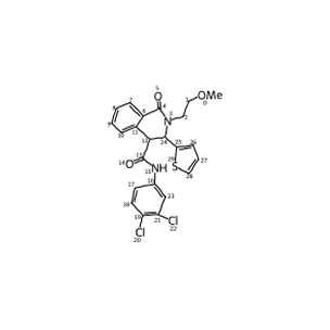 COCCN1C(=O)c2ccccc2C(C(=O)Nc2ccc(Cl)c(Cl)c2)C1c1cccs1